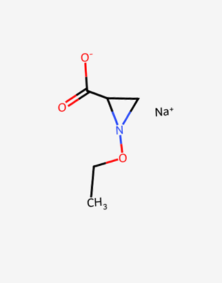 CCON1CC1C(=O)[O-].[Na+]